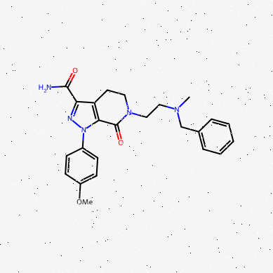 COc1ccc(-n2nc(C(N)=O)c3c2C(=O)N(CCN(C)Cc2ccccc2)CC3)cc1